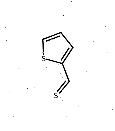 S=Cc1cccs1